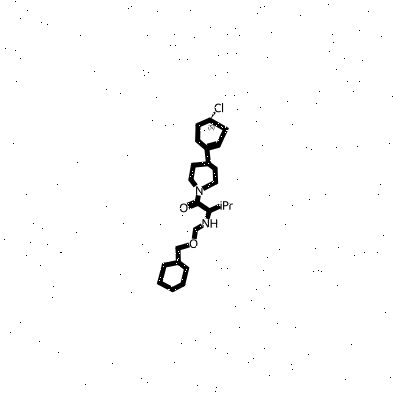 CC(C)C(NCOCC1CCCCC1)C(=O)N1CCC(C2=CC[C@@H](Cl)CC2)CC1